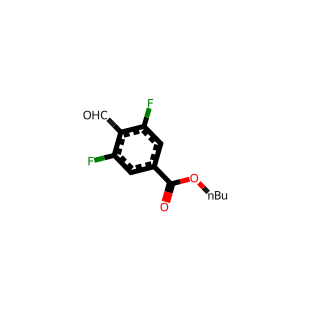 CCCCOC(=O)c1cc(F)c(C=O)c(F)c1